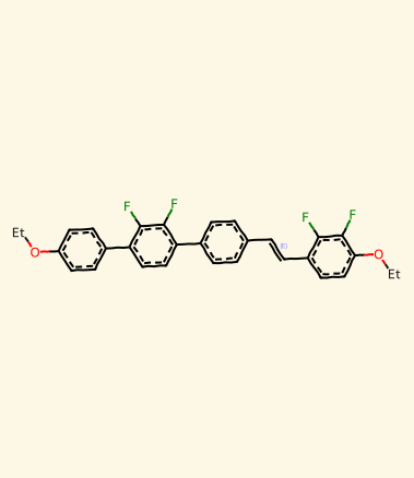 CCOc1ccc(-c2ccc(-c3ccc(/C=C/c4ccc(OCC)c(F)c4F)cc3)c(F)c2F)cc1